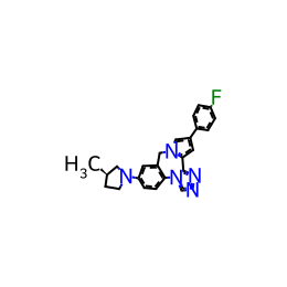 C[C@@H]1CCN(c2ccc3c(c2)Cn2cc(-c4ccc(F)cc4)cc2-c2nncn2-3)C1